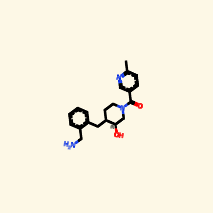 Cc1ccc(C(=O)N2CCC(Cc3ccccc3CN)[C@H](O)C2)cn1